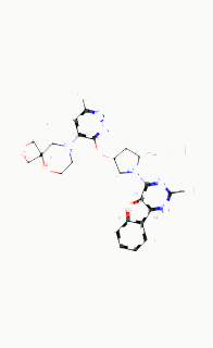 CCc1nc(N2C[C@@H](Oc3nnc(Cl)cc3N3CCOC4(COC4)[C@@H]3C)C[C@H]2C(=O)O)c2oc3ccccc3c2n1